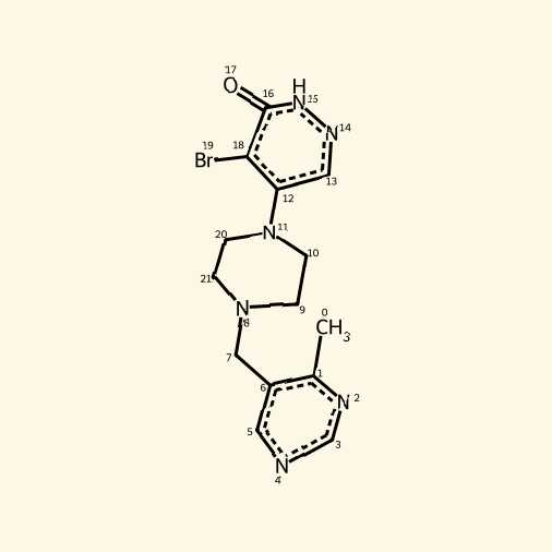 Cc1ncncc1CN1CCN(c2cn[nH]c(=O)c2Br)CC1